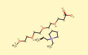 C=CC[N+]1(CC)CCCC1.COCCOCCOCCOCCC(=O)[O-]